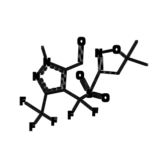 Cn1nc(C(F)(F)F)c(C(F)(F)S(=O)(=O)C2=NOC(C)(C)C2)c1C=O